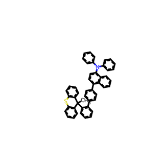 CC1(c2ccccc2-c2ccc(-c3ccc(N(c4ccccc4)c4ccccc4)c4ccccc34)cc2)c2ccccc2Sc2ccccc21